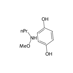 CCCNOC.Oc1ccc(O)cc1